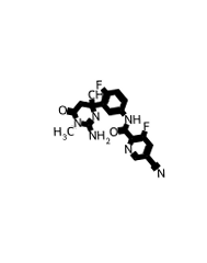 CN1C(=O)CC(C)(c2cc(NC(=O)c3ncc(C#N)cc3F)ccc2F)N=C1N